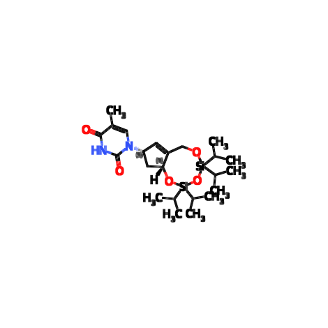 Cc1cn([C@@H]2C=C3CO[Si](C(C)C)(C(C)C)O[Si](C(C)C)(C(C)C)O[C@@H]3C2)c(=O)[nH]c1=O